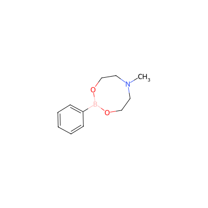 CN1CCOB(c2ccccc2)OCC1